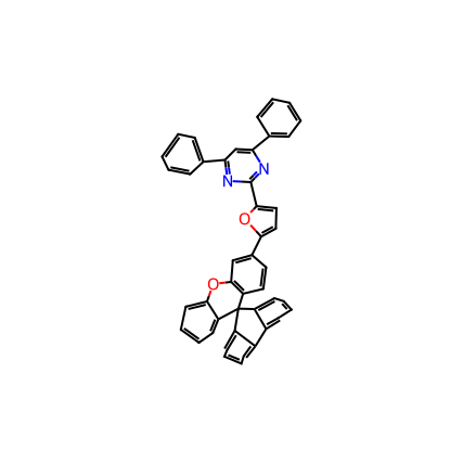 c1ccc(-c2cc(-c3ccccc3)nc(-c3ccc(-c4ccc5c(c4)Oc4ccccc4C54c5ccccc5-c5ccccc54)o3)n2)cc1